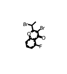 CC(Br)c1oc2cccc(F)c2c(=O)c1Br